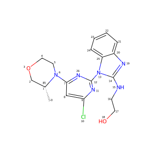 C[C@@H]1COCCN1c1cc(Cl)nc(-n2c(NCCO)nc3ccccc32)n1